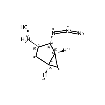 Cl.[N-]=[N+]=N[C@@H]1[C@H]2C[C@H]2C[C@@H]1N